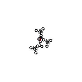 FC(F)(F)c1ccc(-n2c3ccccc3c3cc(-c4nc(-c5ccccc5)nc(-c5ccccc5)n4)ccc32)cc1-c1cc(-c2nc(-c3ccccc3)nc(-c3ccccc3)n2)ccc1-n1c2ccccc2c2cc(-c3nc(-c4ccccc4)nc(-c4ccccc4)n3)ccc21